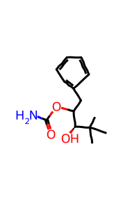 CC(C)(C)[C@@H](O)C(Cc1ccccc1)OC(N)=O